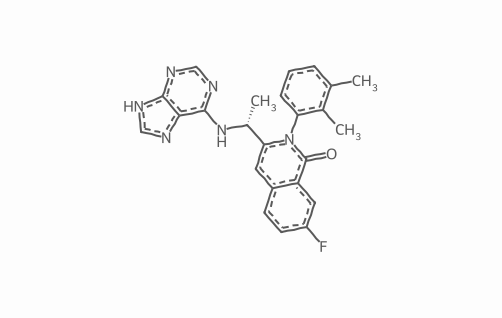 Cc1cccc(-n2c([C@@H](C)Nc3ncnc4[nH]cnc34)cc3ccc(F)cc3c2=O)c1C